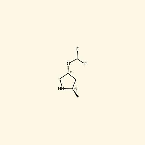 C[C@@H]1C[C@@H](OC(F)F)CN1